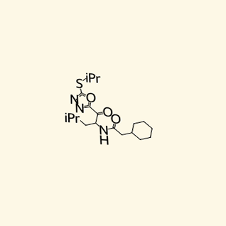 CC(C)CC(NC(=O)CC1CCCCC1)C(=O)c1nnc(SC(C)C)o1